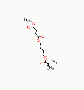 C=C(C)C(=O)OCCCCOC(=O)CCC(=O)OC